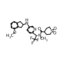 COc1cccc2c1CC(Nc1ccc([C@H](N(C)C(=O)C3CCS(=O)(=O)CC3)C(F)(F)F)nc1)C2